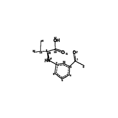 CC(=O)c1cccc(N[C@H](C(=O)O)C(C)C)c1